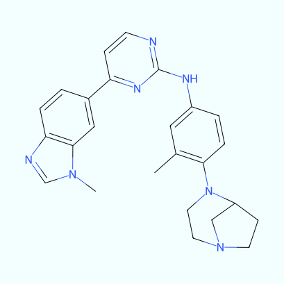 Cc1cc(Nc2nccc(-c3ccc4ncn(C)c4c3)n2)ccc1N1CCN2CCC1C2